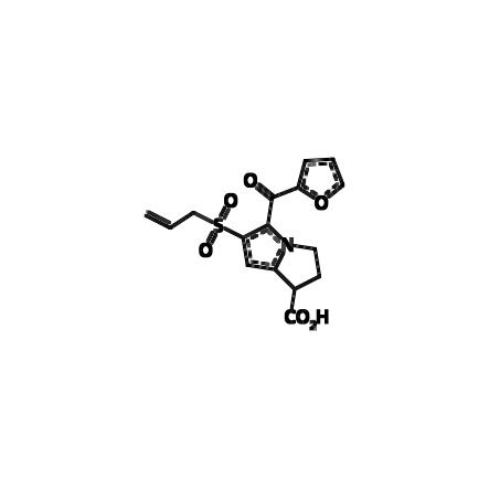 C=CCS(=O)(=O)c1cc2n(c1C(=O)c1ccco1)CCC2C(=O)O